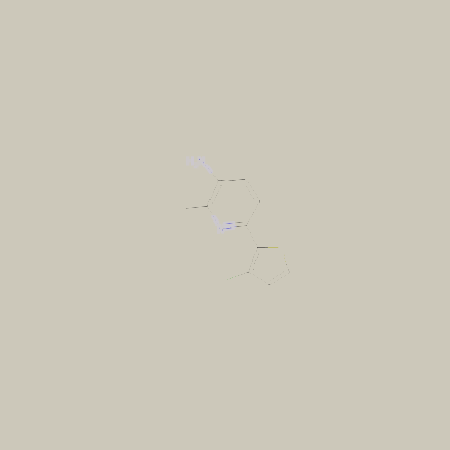 Nc1ccc(-c2sccc2Cl)nc1C(=O)O